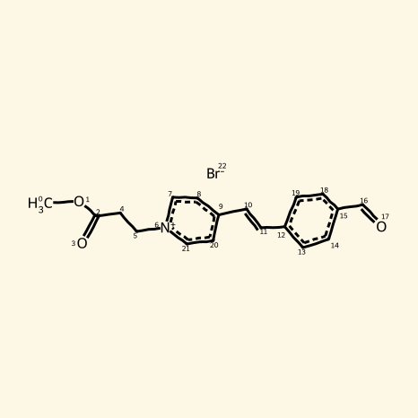 COC(=O)CC[n+]1ccc(C=Cc2ccc(C=O)cc2)cc1.[Br-]